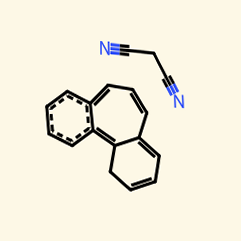 C1=CCC2=c3ccccc3=CC=CC2=C1.N#CCC#N